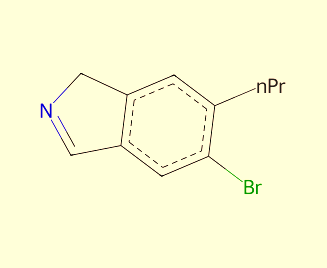 CCCc1cc2c(cc1Br)C=NC2